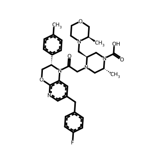 Cc1ccc([C@H]2COc3ncc(Cc4ccc(F)cc4)cc3N2C(=O)CN2C[C@@H](C)N(C(=O)O)C[C@@H]2CN2CCOC[C@H]2C)cc1